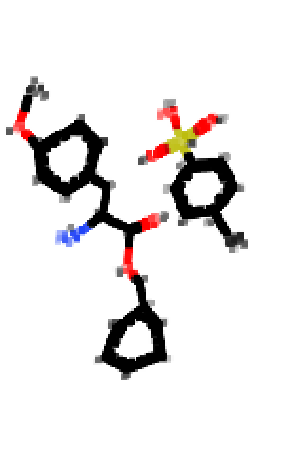 COc1ccc(CC(N)C(=O)OCc2ccccc2)cc1.Cc1ccc(S(=O)(=O)O)cc1